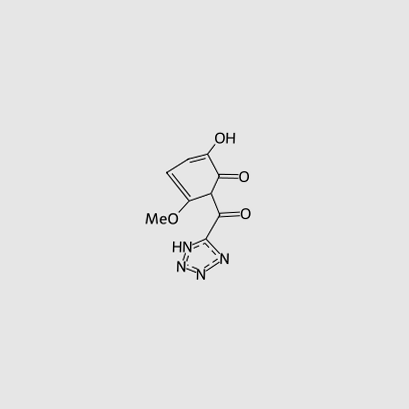 COC1=CC=C(O)C(=O)C1C(=O)c1nnn[nH]1